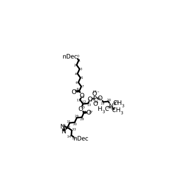 CCCCCCCCCCCCCCCCCC(=O)OCC(COP(=O)([O-])OCC[N+](C)(C)C)OC(=O)CCCCC1(CCCCCCCCCCCC)N=N1